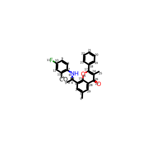 Cc1cc(C(C)Nc2ccc(F)cc2C(=O)O)c2oc(-c3ccccc3)c(C)c(=O)c2c1